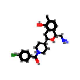 Cc1ccc2c(c1O)C[C@@H](C1CCN(C(=O)c3ccc(Br)cc3)CC1)O[C@H]2CN